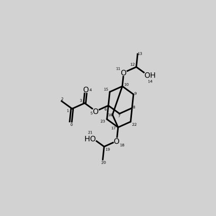 C=C(C)C(=O)OC12CC3CC(OC(C)O)(C1)CC(OC(C)O)(C3)C2